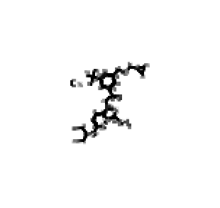 CCC(CC)Oc1ccc2n(n1)c(N)n[n+]2CC(=O)c1cc(COCC2CC2)cc(C(C)(C)C)c1.[Cl-]